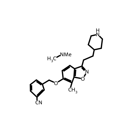 CNC.Cc1c(OCc2cccc(C#N)c2)ccc2c(CCC3CCNCC3)noc12